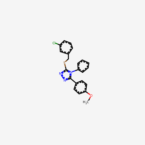 COc1ccc(-c2nnc(SCc3cccc(Cl)c3)n2-c2ccccc2)cc1